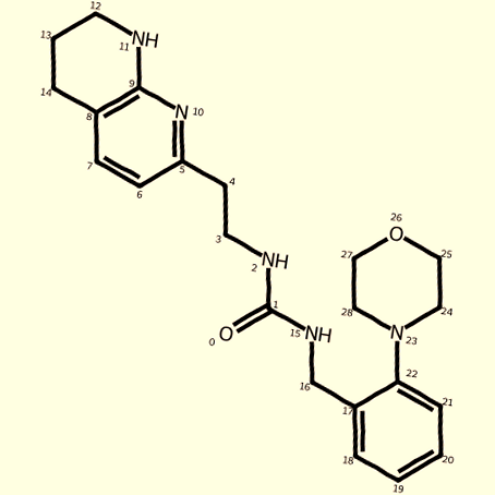 O=C(NCCc1ccc2c(n1)NCCC2)NCc1ccccc1N1CCOCC1